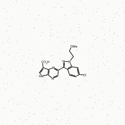 COCCn1nc(-c2cnc3[nH]cc(C(=O)O)c3n2)c2ccc(Cl)cc21